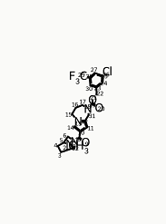 CN1C2CCC1CN(C(=O)c1cc3n(c1)CCCN(C(=O)OCc1cc(Cl)cc(C(F)(F)F)c1)C3)C2